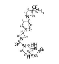 CC1(C(F)(F)F)CCN(c2ccc(C3CN(C(=O)N4CC[C@@H]5OCC(=O)N[C@@H]5C4)C3)cn2)C1